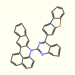 c1ccc2cc3c(cc2c1)-c1cccc2cccc(c12)N3c1nc(-c2ccc3c(c2)sc2ccccc23)c2ccccc2n1